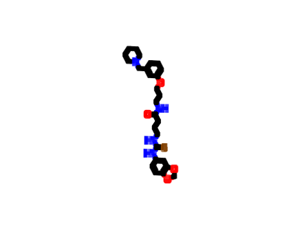 O=C(CCCNC(=S)Nc1ccc2c(c1)OCO2)NCCCOc1cccc(CN2CCCCC2)c1